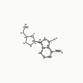 Nc1ncnc2c1c(I)cn2[C@H]1CCC(CO)O1